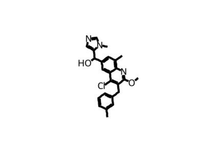 COc1nc2c(C)cc(C(O)c3cncn3C)cc2c(Cl)c1Cc1cccc(C)c1